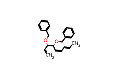 C=C[C@H](OCc1ccccc1)[C@@H](/C=C\C=C\C)OCc1ccccc1